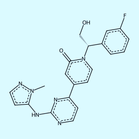 Cn1nccc1Nc1nccc(-c2ccn([C@H](CO)c3cccc(F)c3)c(=O)c2)n1